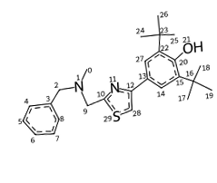 CN(Cc1ccccc1)Cc1nc(-c2cc(C(C)(C)C)c(O)c(C(C)(C)C)c2)cs1